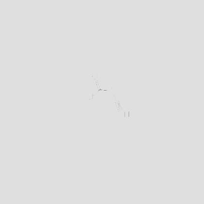 C#COC(=O)Cl